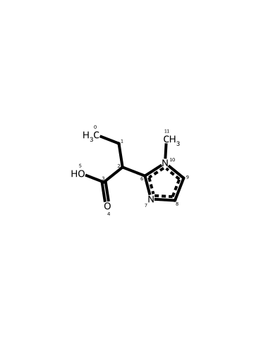 CCC(C(=O)O)c1nccn1C